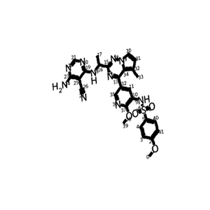 COc1ccc(S(=O)(=O)Nc2cc(-c3nc(C(C)Nc4ncnc(N)c4C#N)nn4ccc(C)c34)cnc2OC)cc1